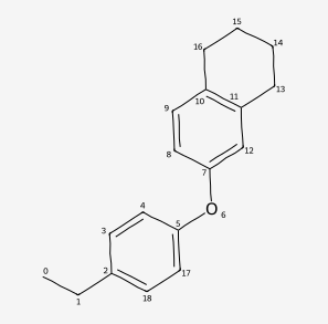 CCc1ccc(Oc2ccc3c(c2)CCCC3)cc1